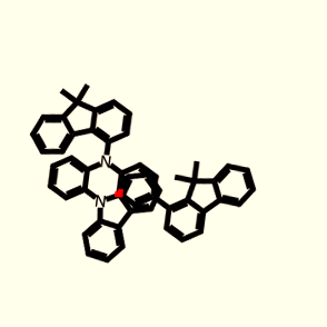 CC1(C)c2ccccc2-c2c(N(c3ccc(-c4cccc5c4C(C)(C)c4ccccc4-5)cc3)c3ccccc3-n3c4ccccc4c4ccccc43)cccc21